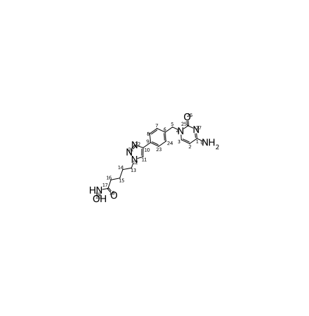 Nc1ccn(Cc2ccc(-c3cn(CCCCC(=O)NO)nn3)cc2)c(=O)n1